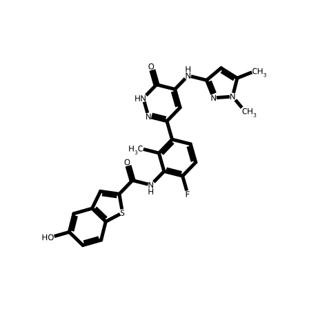 Cc1c(-c2cc(Nc3cc(C)n(C)n3)c(=O)[nH]n2)ccc(F)c1NC(=O)c1cc2cc(O)ccc2s1